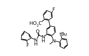 CN(c1ccc(-c2cc(F)ccc2C(=O)O)cc1NC(=O)Nc1ccccc1F)c1ccccc1C(C)(C)C